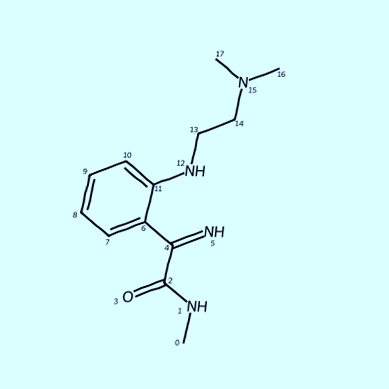 CNC(=O)C(=N)c1ccccc1NCCN(C)C